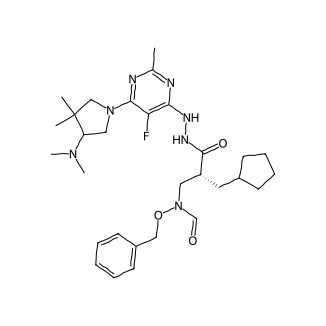 Cc1nc(NNC(=O)[C@H](CC2CCCC2)CN(C=O)OCc2ccccc2)c(F)c(N2CC(N(C)C)C(C)(C)C2)n1